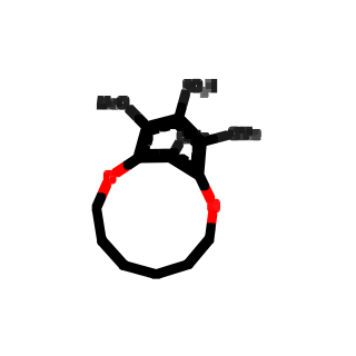 COc1c2c(OC)c(S(=O)(=O)O)c(OC)c1OCCCCCCO2